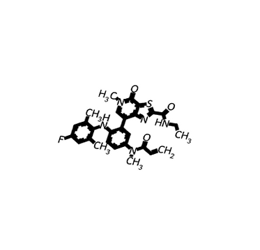 C=CC(=O)N(C)c1ccc(Nc2c(C)cc(F)cc2C)c(-c2cn(C)c(=O)c3sc(C(=O)NCC)nc23)c1